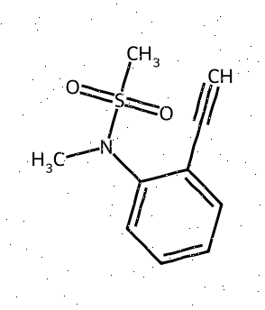 C#Cc1ccccc1N(C)S(C)(=O)=O